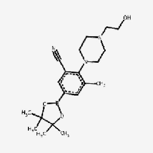 Cc1cc(B2OC(C)(C)C(C)(C)O2)cc(C#N)c1N1CCN(CCO)CC1